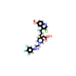 COc1ccc2ncc(Cl)c([C@H](F)CCC3(CC(=O)O)CCN(CCNc4cc(F)c(F)c(F)c4)CC3)c2c1